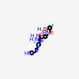 COc1ccc(F)cc1C(=O)NCc1ccc(-c2nn(C3CCN(C4CN(CC5CCNCC5)C4)CC3)c(N)c2C(N)=O)cc1